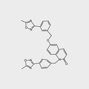 Cc1nc(-c2ccc(Cn3c(=O)ccc4cc(OCc5cccc(-c6noc(C)n6)c5)ccc43)cc2)no1